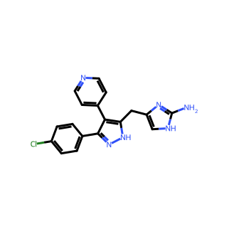 Nc1nc(Cc2[nH]nc(-c3ccc(Cl)cc3)c2-c2ccncc2)c[nH]1